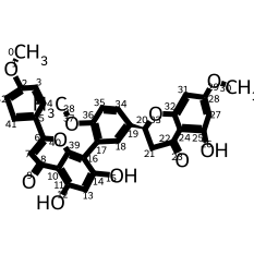 COc1ccc(-c2cc(=O)c3c(O)cc(O)c(-c4cc([C@@H]5CC(=O)c6c(O)cc(OC)cc6O5)ccc4OC)c3o2)cc1